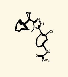 Cn1c(-c2ccc(NC(N)=O)cc2Cl)nnc1C1(c2ccccc2)CC1